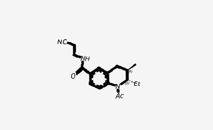 CC[C@H]1[C@H](C)Cc2cc(C(=O)NCCC#N)ccc2N1C(C)=O